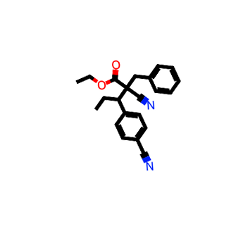 CCOC(=O)C(C#N)(Cc1ccccc1)C(CC)c1ccc(C#N)cc1